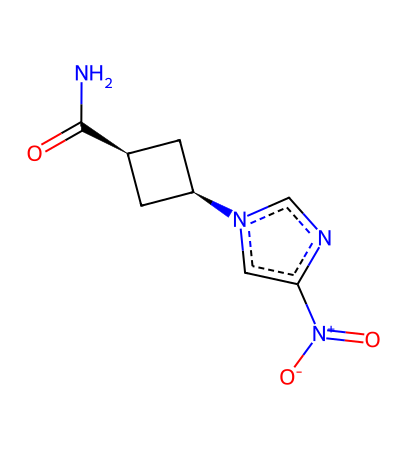 NC(=O)[C@H]1C[C@@H](n2cnc([N+](=O)[O-])c2)C1